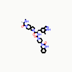 CN[C@@H](C)C(=O)N1CCC2(CC1)CCN(C(=O)[C@@H](Cc1cc(C)c3[nH]ncc3c1)NC(=O)N1CCC(N3Cc4ccccc4NC3=O)CC1)C2